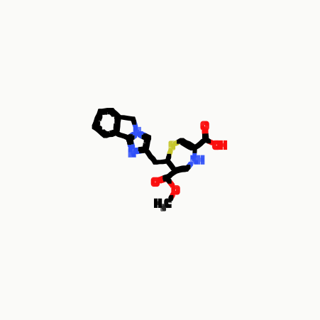 COC(=O)C1=CNC(C(=O)O)=CSC1Cc1cn2c(n1)-c1ccccc1C2